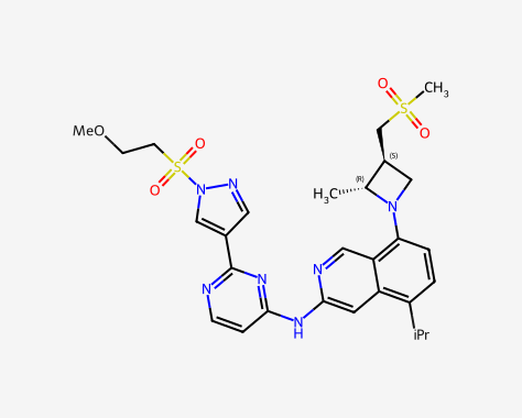 COCCS(=O)(=O)n1cc(-c2nccc(Nc3cc4c(C(C)C)ccc(N5C[C@H](CS(C)(=O)=O)[C@H]5C)c4cn3)n2)cn1